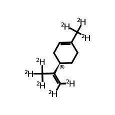 [2H]C([2H])=C([C@H]1CC=C(C([2H])([2H])[2H])CC1)C([2H])([2H])[2H]